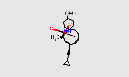 C=C1/C=C(C#CC2CC2)\C=C/CCC2(CCC(OC)CC2)C12NC(=O)NC2=O